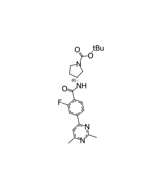 Cc1cc(-c2ccc(C(=O)N[C@@H]3CCN(C(=O)OC(C)(C)C)C3)c(F)c2)nc(C)n1